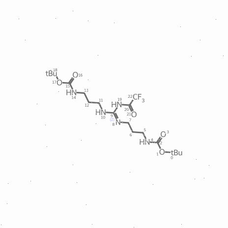 CC(C)(C)OC(=O)NCCC/N=C(/NCCCNC(=O)OC(C)(C)C)NC(=O)C(F)(F)F